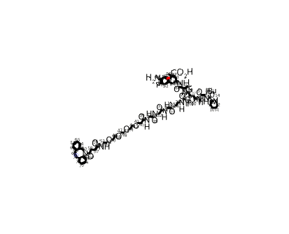 CCCCCCN(C(=O)[C@@H](NC(=O)[C@H]1CCCCN1C)[C@@H](C)CC)[C@H](C[C@@H](OC(=O)NCCNC(=O)CNC(=O)CNC(=O)CNC(=O)CCOCCOCCOCCOCCNC(=O)CCC(=O)N1Cc2ccccc2/C=C\c2ccccc21)c1nc(C(=O)N[C@@H](Cc2ccc(N)c(F)c2)CC(C)(C)C(=O)O)cs1)C(C)C